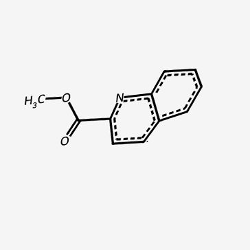 COC(=O)c1c[c]c2ccccc2n1